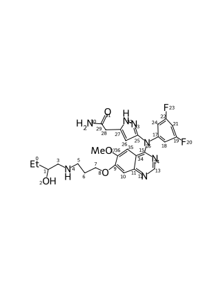 CCC(O)CNCCCOc1cc2ncnc(N(c3cc(F)cc(F)c3)c3cc(CC(N)=O)[nH]n3)c2cc1OC